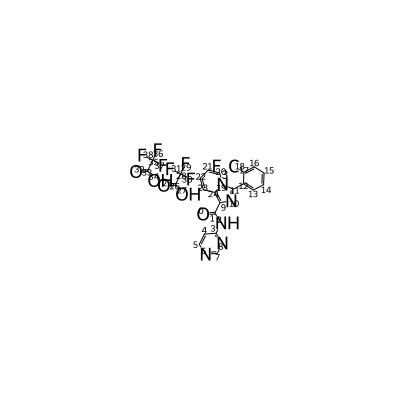 O=C(Nc1ccncn1)c1nc(-c2ccccc2C(F)(F)F)n2ccccc12.O=C(O)C(F)(F)F.O=C(O)C(F)(F)F